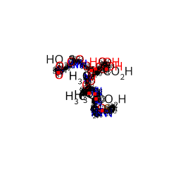 Cc1c(-c2ccc(-c3ccc4c(c3)N(C(=O)Nc3nc5ccccc5s3)CCC4)nc2C(=O)O)cnn1CC12CC(OCCN(C)C(=O)OCc3ccc(O[C@@H]4O[C@H](C(=O)O)[C@@H](O)[C@H](O)[C@H]4O)cc3OCCOCCNC(=O)[C@H](CS(=O)(=O)O)NC(=O)CCCCCN3C(=O)C=CC3=O)C3CCC(C)(C1)CC3(C)C2